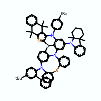 CC(C)(C)c1ccc(N2c3cc(N4c5ccccc5C5(C)CCCCC45C)cc4c3B(c3ccc5cc3N4c3ccccc3Sc3ccccc3N5c3ccc(C(C)(C)C)cc3-c3ccccc3)c3sc4c(c32)C(C)(C)c2ccccc2C4(C)C)cc1